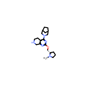 CN1CCC[C@H]1COc1nc2c(c(N3CC4CCC(C4)C3)n1)CCNC2